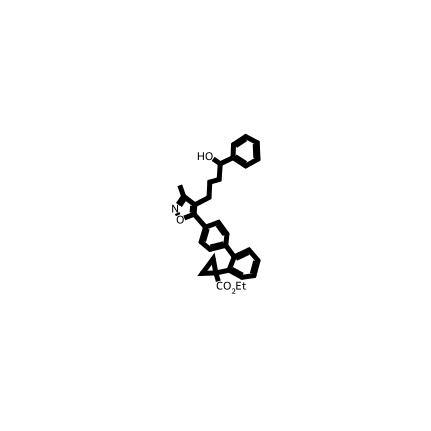 CCOC(=O)C1(c2ccccc2-c2ccc(-c3onc(C)c3CCCC(O)c3ccccc3)cc2)CC1